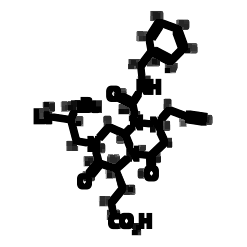 C#CCN1CC(=O)N2C(CN(CC(CC)CCCC)C(=O)[C@@H]2CCC(=O)O)N1C(=O)NCc1ccccc1